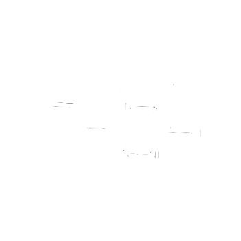 CN1C(=O)C(O)NN=C1C[C]=S